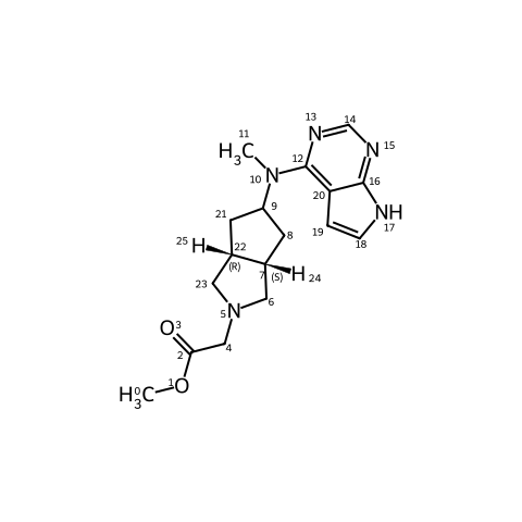 COC(=O)CN1C[C@H]2CC(N(C)c3ncnc4[nH]ccc34)C[C@H]2C1